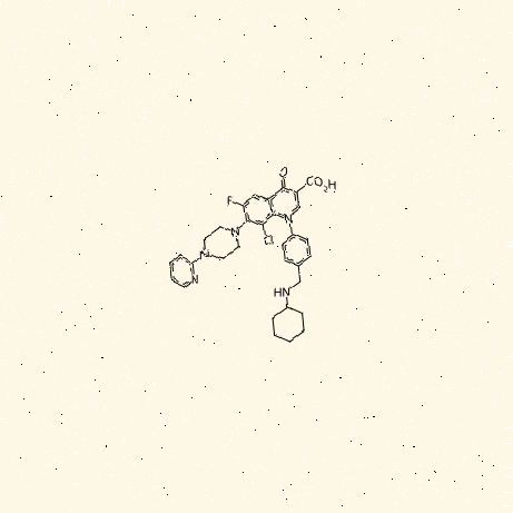 O=C(O)c1cn(-c2ccc(CNC3CCCCC3)cc2)c2c(Cl)c(N3CCN(c4ccccn4)CC3)c(F)cc2c1=O